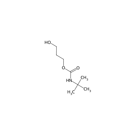 CC(C)(C)NC(=O)OCCCO